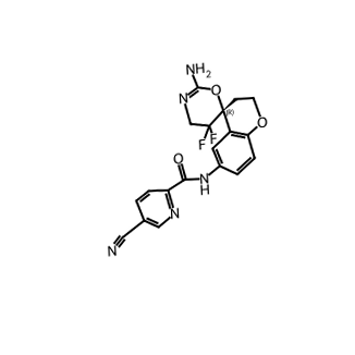 N#Cc1ccc(C(=O)Nc2ccc3c(c2)[C@@]2(CCO3)OC(N)=NCC2(F)F)nc1